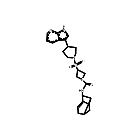 O=C(NC1C2=CCC3CC2C31)N1CC(S(=O)(=O)N2CCC(c3c[nH]c4ncccc34)CC2)C1